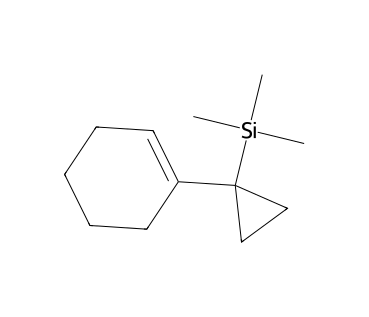 C[Si](C)(C)C1(C2=CCCCC2)CC1